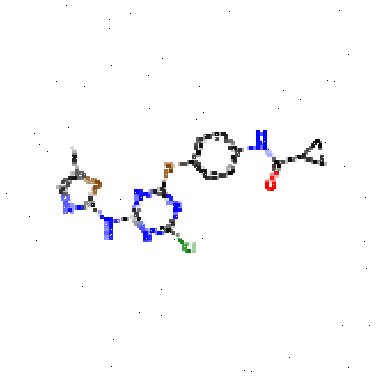 Cc1cnc(Nc2nc(Cl)nc(Sc3ccc(NC(=O)C4CC4)cc3)n2)s1